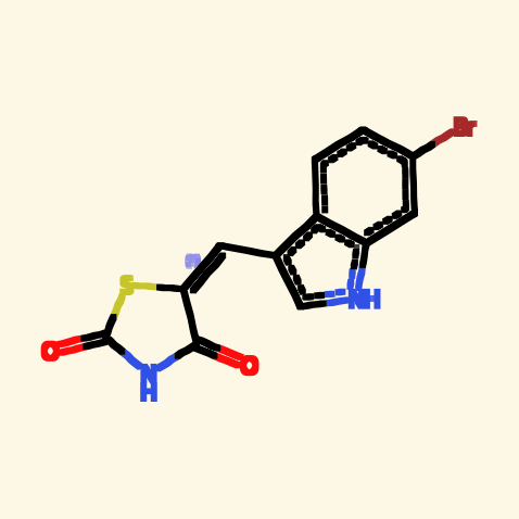 O=C1NC(=O)/C(=C\c2c[nH]c3cc(Br)ccc23)S1